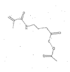 C=C(C)C(=O)NCCCC(=O)OOC(C)=O